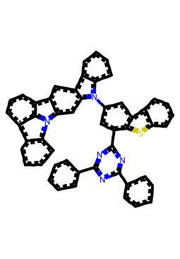 c1ccc(-c2nc(-c3ccccc3)nc(-c3cc(-n4c5ccccc5c5cc6c7cccc8c9ccccc9n(c6cc54)c87)cc4c3sc3ccccc34)n2)cc1